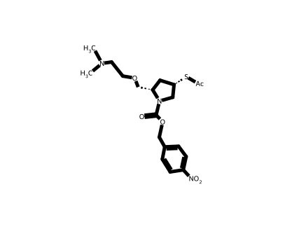 CC(=O)S[C@H]1C[C@@H](COCCN(C)C)N(C(=O)OCc2ccc([N+](=O)[O-])cc2)C1